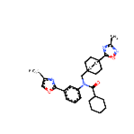 CCOC(=O)c1coc(-c2cccc(N(CC34CCC(c5nc(C)no5)(CC3)CC4)C(=O)C3CCCCC3)c2)n1